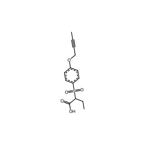 CC#CCOc1ccc(S(=O)(=O)C(CC)C(=O)O)cc1